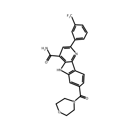 NC(=O)c1cc(-c2cccc(C(F)(F)F)c2)nc2c1[nH]c1cc(C(=O)N3CCOCC3)ccc12